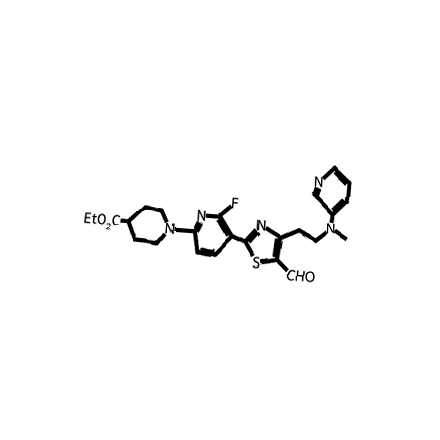 CCOC(=O)C1CCN(c2ccc(-c3nc(CCN(C)c4cccnc4)c(C=O)s3)c(F)n2)CC1